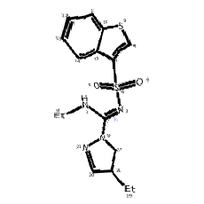 CCN/C(=N\S(=O)(=O)c1csc2ccccc12)N1CC(CC)C=N1